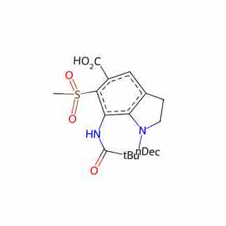 CCCCCCCCCCN1CCc2cc(C(=O)O)c(S(C)(=O)=O)c(NC(=O)C(C)(C)C)c21